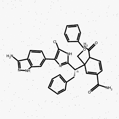 NC(=O)C1=CC(COc2ccccc2)([C@H](Cc2ccccc2)c2nc(-c3ccc4c(N)n[nH]c4c3)c(Cl)[nH]2)C(C(N)=O)C=C1